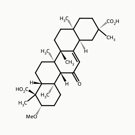 CO[C@H]1CC[C@@]2(C)[C@@H](CC[C@]3(C)[C@@H]2C(=O)C=C2[C@@H]4C[C@@](C)(C(=O)O)CC[C@]4(C)CC[C@]23C)[C@]1(C)C(=O)O